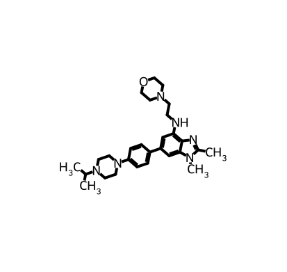 Cc1nc2c(NCCN3CCOCC3)cc(-c3ccc(N4CCN(C(C)C)CC4)cc3)cc2n1C